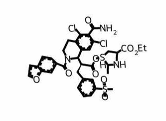 CCOC(=O)C1C[SH](OC(=O)[C@@H](Cc2cccc(S(C)(=O)=O)c2)C2c3cc(Cl)c(C(N)=O)c(Cl)c3CCN2C(=O)c2ccc3ccoc3c2)C(C)N1